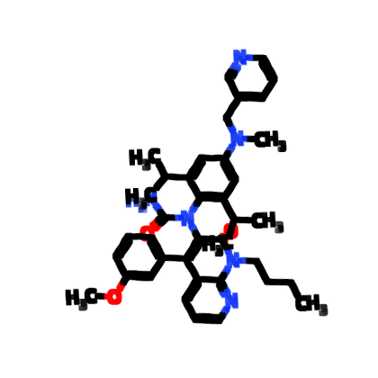 CCCCn1c(=O)c(N(C(N)=O)c2c(C(C)C)cc(N(C)Cc3cccnc3)cc2C(C)C)c(-c2cccc(OC)c2)c2cccnc21